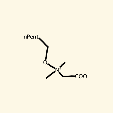 CCCCCCO[N+](C)(C)CC(=O)[O-]